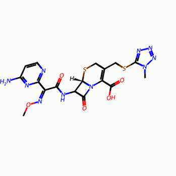 CON=C(C(=O)NC1C(=O)N2C(C(=O)O)=C(CSc3nnnn3C)CS[C@@H]12)c1nccc(N)n1